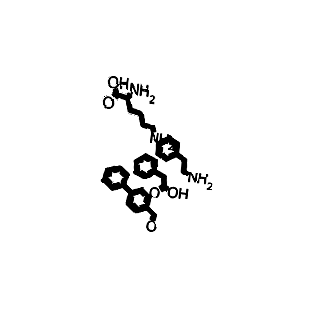 NCCCCC(N)C(=O)O.NCCc1ccccc1.O=C(O)Cc1ccccc1.O=Cc1ccc(-c2ccccc2)cc1